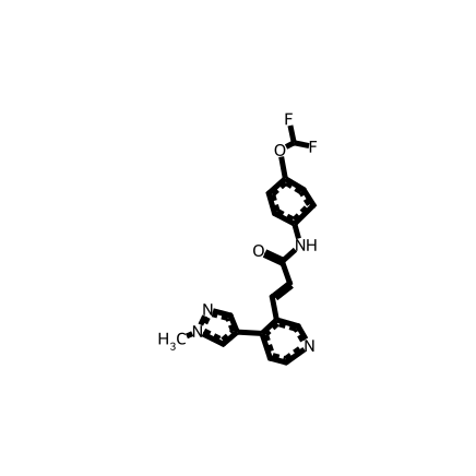 Cn1cc(-c2ccncc2/C=C/C(=O)Nc2ccc(OC(F)F)cc2)cn1